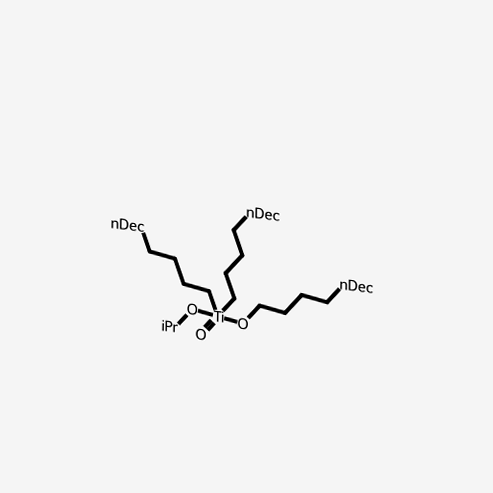 CCCCCCCCCCCCCC[O][Ti](=[O])([CH2]CCCCCCCCCCCCC)([CH2]CCCCCCCCCCCCC)[O]C(C)C